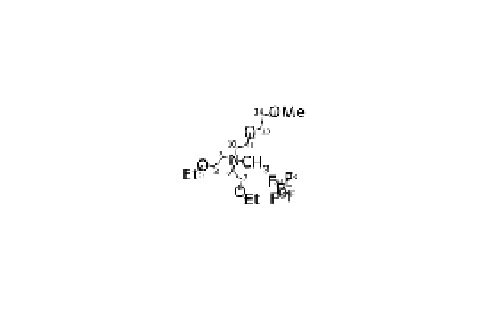 CCOCC[N+](C)(CCOCC)CCOCCOC.F[B-](F)(F)F